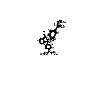 CCCCN(CCCC)c1ccc(C2(Nc3ccc(C(=O)OC(C)(C)C)cc3)OC(=O)c3ccccc32)cc1